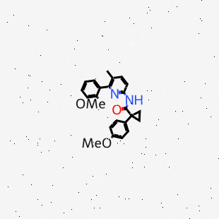 COc1ccc(C2(C(=O)Nc3ccc(C)c(-c4ccccc4OC)n3)CC2)cc1